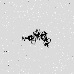 Cc1c(Nc2ccc(C#N)cc2Cl)ncnc1OC1CC2CCC(N2C(=O)OC(C)(C)C)C12CC2